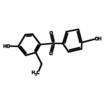 CCc1cc(O)ccc1S(=O)(=O)c1ccc(O)cc1